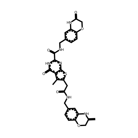 C=C1COc2ccc(CNC(=O)Cc3sc4nc(C(=O)NCc5ccc6c(c5)NC(=O)CO6)[nH]c(=O)c4c3C)cc2N1